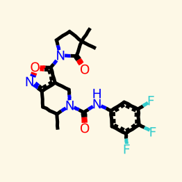 CC1Cc2noc(N3CCC(C)(C)C3=O)c2CN1C(=O)Nc1cc(F)c(F)c(F)c1